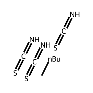 CCCCC.N=C=S.N=C=S.N=C=S